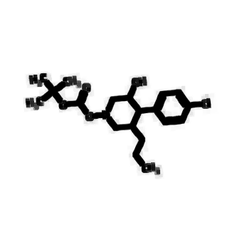 CCCC1CN(OC(=O)OC(C)(C)C)CC(O)C1c1ccc(Cl)cc1